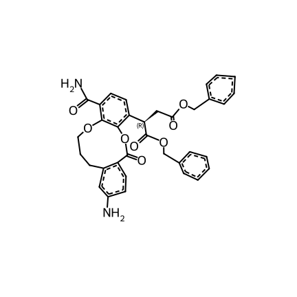 NC(=O)c1ccc([C@@H](CC(=O)OCc2ccccc2)C(=O)OCc2ccccc2)c2c1OCCCc1cc(N)ccc1C(=O)O2